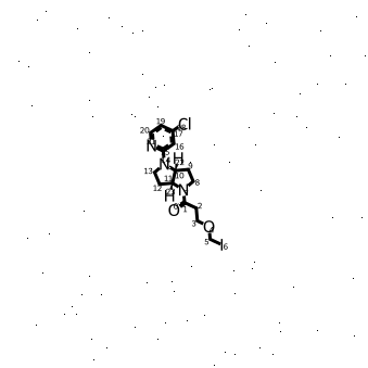 O=C(CCOCI)N1CC[C@@H]2[C@H]1CCN2c1cc(Cl)ccn1